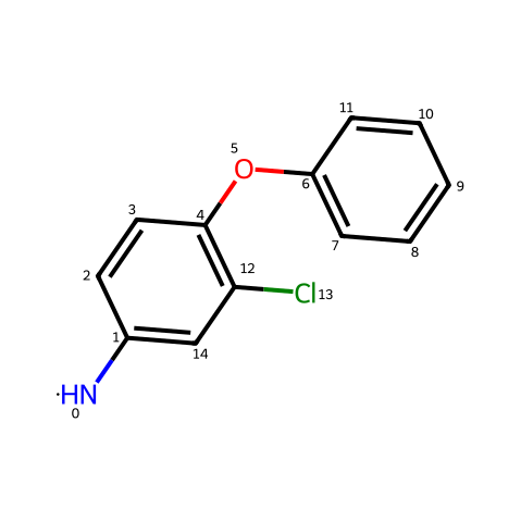 [NH]c1ccc(Oc2ccccc2)c(Cl)c1